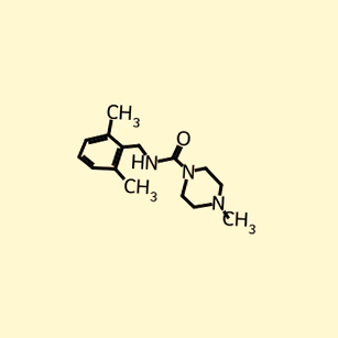 Cc1cccc(C)c1CNC(=O)N1CCN(C)CC1